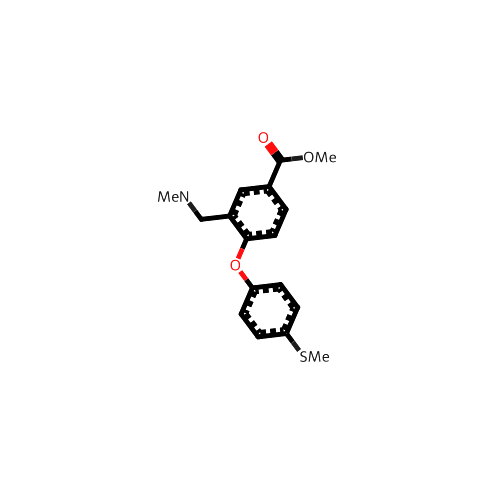 CNCc1cc(C(=O)OC)ccc1Oc1ccc(SC)cc1